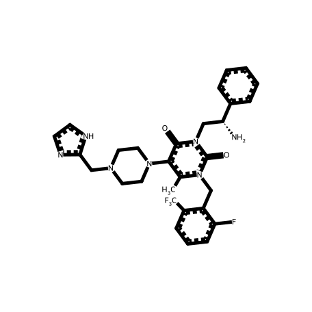 Cc1c(N2CCN(Cc3ncc[nH]3)CC2)c(=O)n(C[C@@H](N)c2ccccc2)c(=O)n1Cc1c(F)cccc1C(F)(F)F